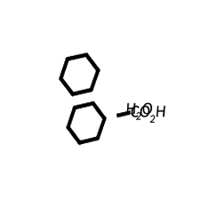 C1CCCCC1.C1CCCCC1.CC(=O)O.O